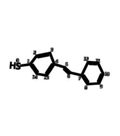 Sc1ccc(/C=C/c2ccccc2)cc1